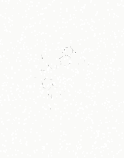 CC1(C)OB(c2ccc(C[C@H](NC(=O)c3c(F)cc(N4CCOCC4C(F)(F)F)cc3F)C(=O)O)n3ccnc23)OC1(C)C